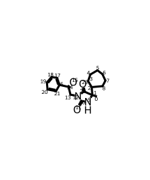 CC1(C2CCCCCC2)NC(=O)N(CC(=O)c2ccccc2)C1=O